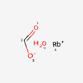 O.O=C[O-].[Rb+]